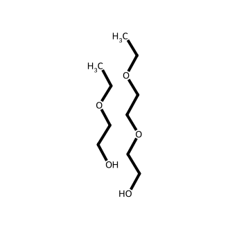 CCOCCO.CCOCCOCCO